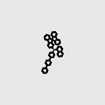 c1ccc(-c2ccc(-c3ccc(N(c4ccc5c(c4)C4(c6ccccc6-c6ccccc64)c4ccccc4-5)c4cccc5ccccc45)cc3)cc2)cc1